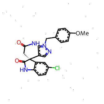 COc1ccc(Cn2ncc3c2NC(=O)C[C@]32C(=O)Nc3ccc(Cl)cc32)cc1